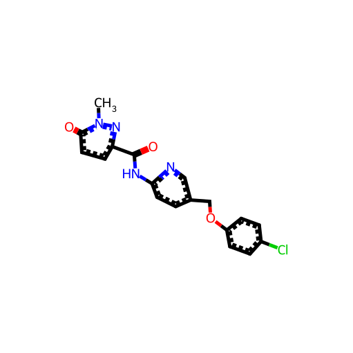 Cn1nc(C(=O)Nc2ccc(COc3ccc(Cl)cc3)cn2)ccc1=O